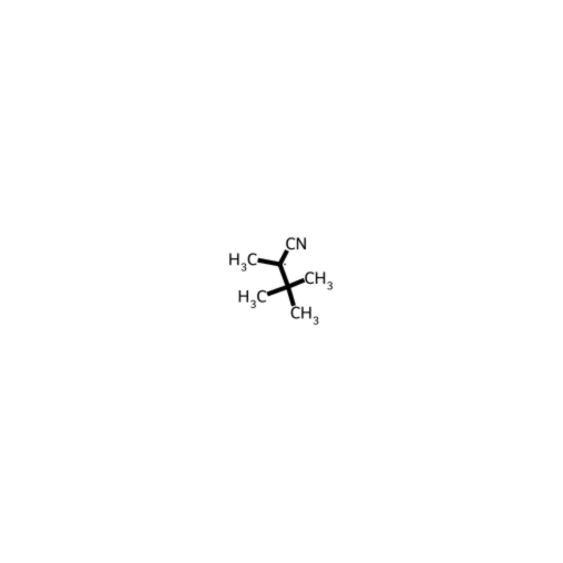 C[C](C#N)C(C)(C)C